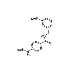 CNc1cccc(CNC(=O)c2ccc(NSC)cc2)c1